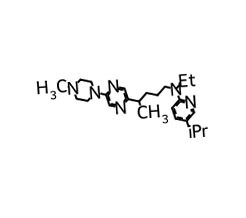 CCN(CCCC(C)c1cnc(N2CCN(C)CC2)cn1)c1ccc(C(C)C)cn1